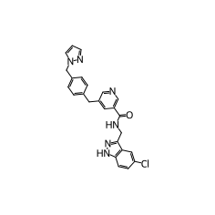 O=C(NCc1n[nH]c2ccc(Cl)cc12)c1cncc(Cc2ccc(Cn3cccn3)cc2)c1